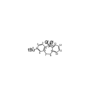 CC(C)(C)c1ccc2c(c1)CCc1ccccc1S2(=O)=O